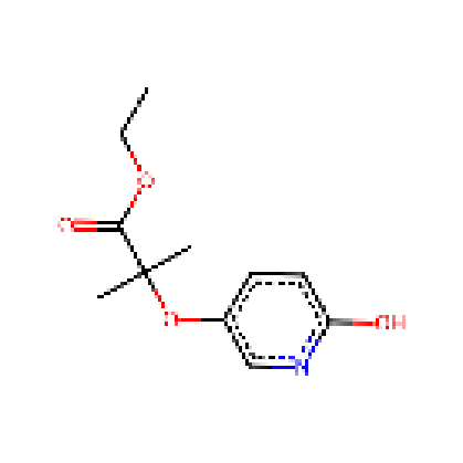 CCOC(=O)C(C)(C)Oc1ccc(O)nc1